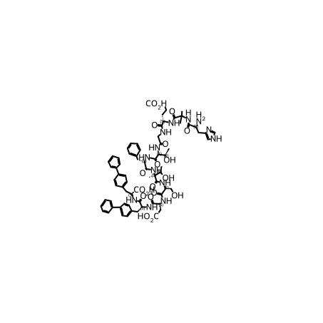 C[C@@H](O)[C@H](NC(=O)CNC(=O)[C@H](CCC(=O)O)NC(=O)C(C)(C)NC(=O)[C@@H](N)Cc1c[nH]cn1)C(=O)N[C@@H](Cc1ccccc1)C(=O)N[C@](C)(C(=O)N[C@@H](CO)C(=O)N[C@@H](CC(=O)O)C(=O)N[C@@H](Cc1ccc(-c2ccccc2)cc1)C(=O)N[C@@H](Cc1ccc(-c2ccccc2)cc1)C(=O)O)[C@@H](C)O